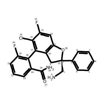 NC[C@@]1(c2ccccc2)Cc2c(cc(F)c(Cl)c2-c2c(F)cccc2C(N)=O)O1